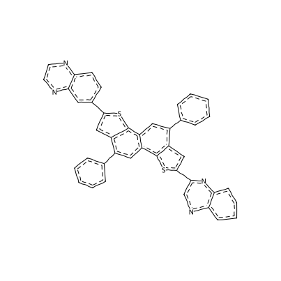 c1ccc(-c2cc3c(cc(-c4ccccc4)c4cc(-c5cnc6ccccc6n5)sc43)c3sc(-c4ccc5nccnc5c4)cc23)cc1